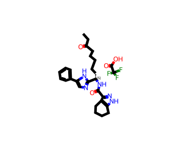 CCC(=O)CCCCC[C@H](NC(=O)c1n[nH]c2c1CCCC2)c1ncc(-c2ccccc2)[nH]1.O=C(O)C(F)(F)F